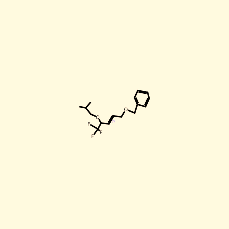 CC(C)COC(/C=C/COCc1ccccc1)C(F)(F)F